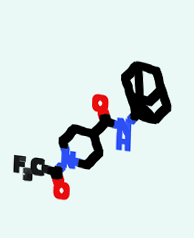 O=C(NC1C2CC3CC(C2)CC1C3)C1CCN(C(=O)C(F)(F)F)CC1